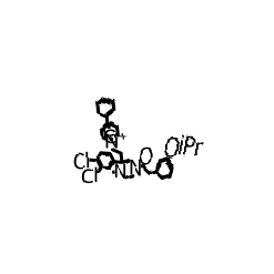 CC(C)Oc1cccc(CC(=O)N2CCN(C)C(CC[N+]34CCC(c5ccccc5)(CC3)CC4)(c3ccc(Cl)c(Cl)c3)C2)c1